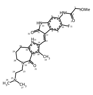 COCC(=O)Nc1cc2c(cc1F)/C(=C/c1[nH]c3c(c1C)C(=O)N(CCN(C)C)CCC3)C(=O)N2